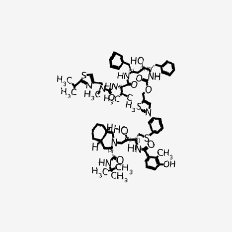 CC(C)c1nc(CN(C)C(=O)N[C@H](C(=O)N[C@@H](Cc2ccccc2)C[C@H](O)[C@H](Cc2ccccc2)NC(=O)OCc2cncs2)C(C)C)cs1.Cc1c(O)cccc1C(=O)N[C@@H](CSc1ccccc1)[C@H](O)CN1C[C@H]2CCCC[C@H]2C[C@H]1C(=O)NC(C)(C)C